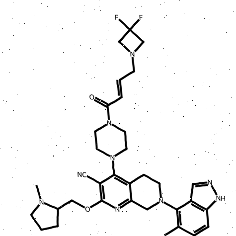 Cc1ccc2[nH]ncc2c1N1CCc2c(nc(OCC3CCCN3C)c(C#N)c2N2CCN(C(=O)C=CCN3CC(F)(F)C3)CC2)C1